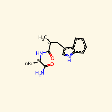 CCCC[C@@H](NC(=O)[C@@H](C)Cc1c[nH]c2ccccc12)C(N)=O